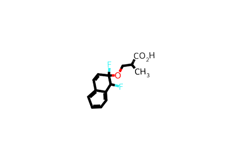 CC(COC1(F)C=Cc2ccccc2C1F)C(=O)O